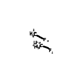 CF.CF.[Li]